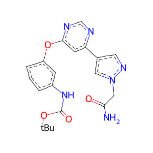 CC(C)(C)OC(=O)Nc1cccc(Oc2cc(-c3cnn(CC(N)=O)c3)ncn2)c1